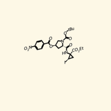 CCOC(=O)[C@@]1(NC(=O)[C@@H]2C[C@@H](OC(=O)c3ccc([N+](=O)[O-])cc3)CN2C(=O)OC(C)(C)C)C[C@H]1I